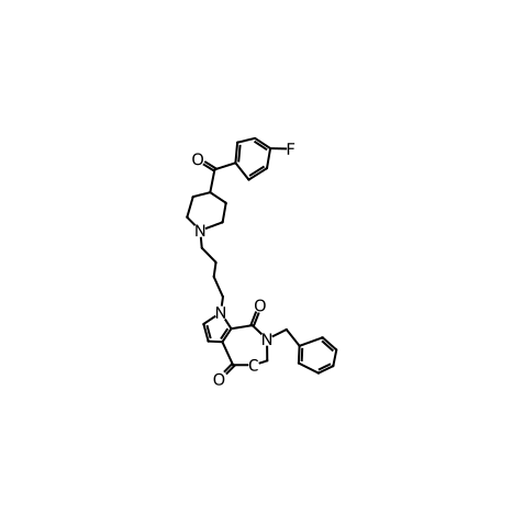 O=C1CCN(Cc2ccccc2)C(=O)c2c1ccn2CCCCN1CCC(C(=O)c2ccc(F)cc2)CC1